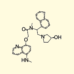 CNc1ccc(OCC(=O)N(C)C(CN2CC[C@H](O)C2)c2cccc3ccccc23)c2ncccc12